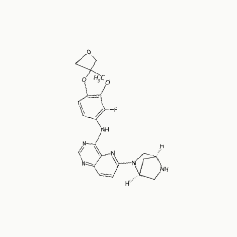 CC1(Oc2ccc(Nc3ncnc4ccc(N5C[C@@H]6C[C@H]5CN6)nc34)c(F)c2Cl)COC1